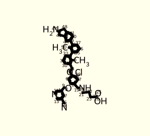 Cc1c(COc2cc(OCc3cncc(C#N)c3)c(CNCCCC(=O)O)cc2Cl)cccc1-c1cccc(-c2ccc3c(c2)CC(N)C3)c1C